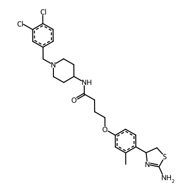 Cc1cc(OCCCC(=O)NC2CCN(Cc3ccc(Cl)c(Cl)c3)CC2)ccc1C1CSC(N)=N1